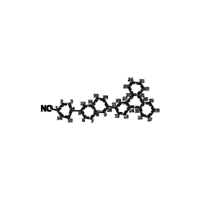 N#Cc1ccc(-c2ccc3cc(-c4ccc5c6ccccc6c6ccccc6c5c4)ccc3c2)cc1